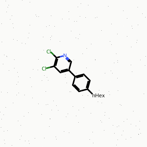 CCCCCCc1ccc(-c2cnc(Cl)c(Cl)c2)cc1